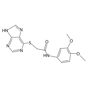 COc1ccc(NC(=O)CSc2ncnc3[nH]cnc23)cc1OC